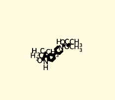 CC(C)C1(C)C(=O)Nc2ccc(C3CCN(C(=O)OC(C)(C)C)CC3)cc21